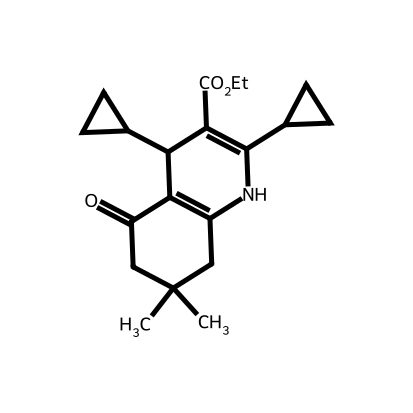 CCOC(=O)C1=C(C2CC2)NC2=C(C(=O)CC(C)(C)C2)C1C1CC1